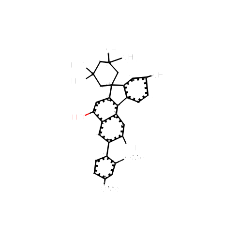 COc1ccc(-c2cc3c(O)cc4c(c3cc2C)-c2ccc(C)cc2C42CC(C)(C)CC(C)(C)C2)c(OC)c1